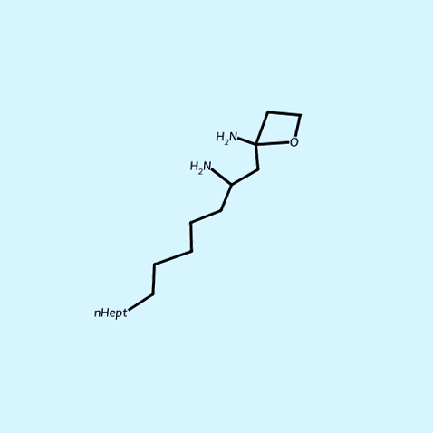 CCCCCCCCCCCCC(N)CC1(N)CCO1